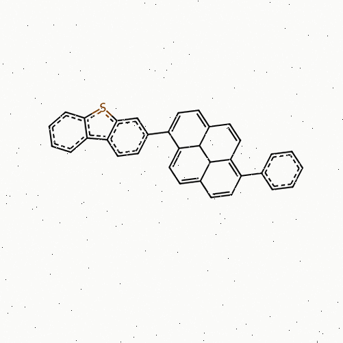 C1=CC2=C(c3ccccc3)C=CC3=CC=C4C(c5ccc6c(c5)sc5ccccc56)=CC=C1C4C32